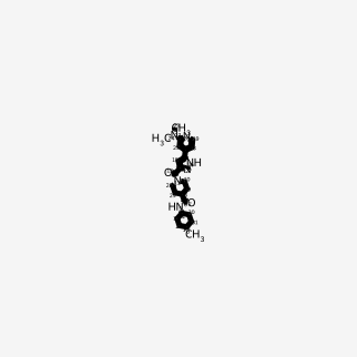 CC1CCC(NC(=O)C2CCN(C(=O)c3cc(-c4ccnc(N(C)C)c4)[nH]n3)CC2)CC1